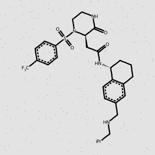 CC(C)CNCc1ccc2c(c1)CCC[C@H]2NC(=O)C[C@@H]1C(=O)NCCN1S(=O)(=O)c1ccc(C(F)(F)F)cc1